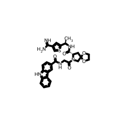 C[C@@H](NC(=O)[C@@H]1CC2(CN1C(=O)CNC(=O)c1ccc3[nH]c4ccccc4c3c1)OCCO2)c1cc(C(=N)N)cs1